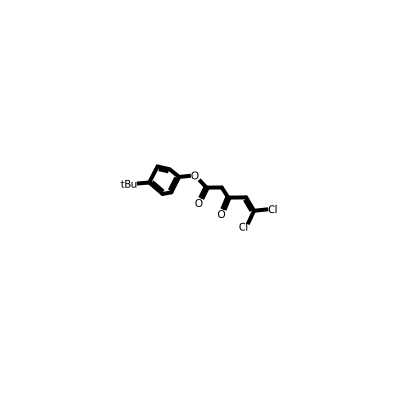 CC(C)(C)c1ccc(OC(=O)CC(=O)C=C(Cl)Cl)cc1